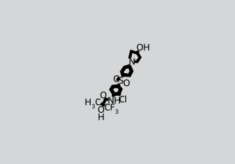 CC(O)(C(=O)Nc1ccc(S(=O)(=O)c2ccc(N3CCC(O)CC3)cc2)cc1Cl)C(F)(F)F